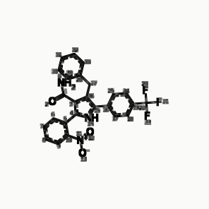 NC(=O)c1c(-c2ccccc2[N+](=O)[O-])[nH]c(-c2ccc(C(F)(F)F)cc2)c1Cc1ccccc1